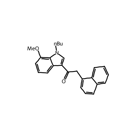 CCCCn1cc(C(=O)Cc2cccc3ccccc23)c2cccc(OC)c21